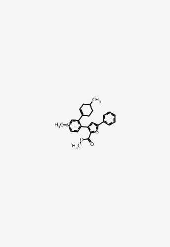 COC(=O)c1sc(-c2ccccc2)cc1-c1cc[n+](C)cc1C1=CCC(C)CC1